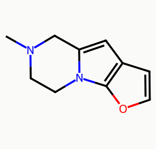 CN1CCn2c(cc3ccoc32)C1